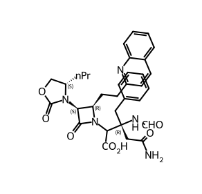 CCC[C@H]1COC(=O)N1[C@@H]1C(=O)N(C(C(=O)O)[C@](CC(N)=O)(Cc2ccccc2)NC=O)[C@@H]1CCc1ccc2ccccc2n1